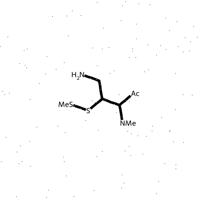 CNC(C(C)=O)C(CN)SSC